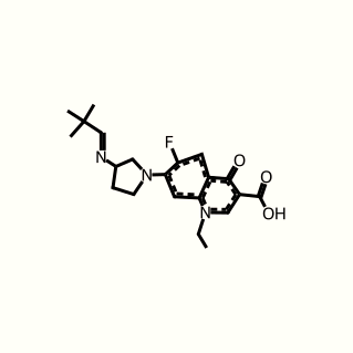 CCn1cc(C(=O)O)c(=O)c2cc(F)c(N3CCC(N=CC(C)(C)C)C3)cc21